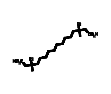 CCC(C)(CCCCCCCCCCC(C)(CC)CC(=O)O)CC(=O)O